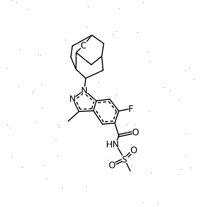 Cc1nn(C2CC3CC4CCC2C(C4)C3)c2cc(F)c(C(=O)NS(C)(=O)=O)cc12